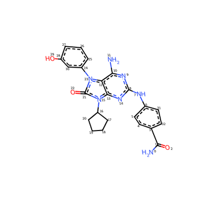 NC(=O)c1ccc(Nc2nc(N)c3c(n2)n(C2CCCC2)c(=O)n3-c2cccc(O)c2)cc1